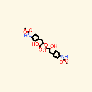 COC(=O)Nc1ccc(CC(O)C(=O)OC(Cc2ccc(NC(=O)OC)cc2)C(=O)O)cc1